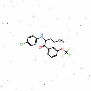 CCCC(Nc1ccc(Cl)cc1)C(=O)c1cccc(OC(F)(F)F)c1